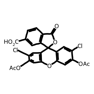 CC(=O)Oc1cc2c(cc1Cl)C1(OC(=O)c3ccc(C(=O)O)cc31)c1cc(Cl)c(OC(C)=O)cc1O2